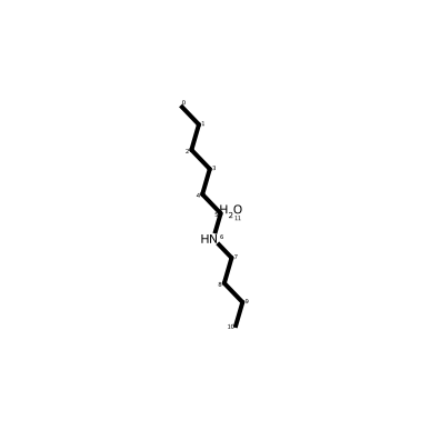 CCCCCCNCCCC.O